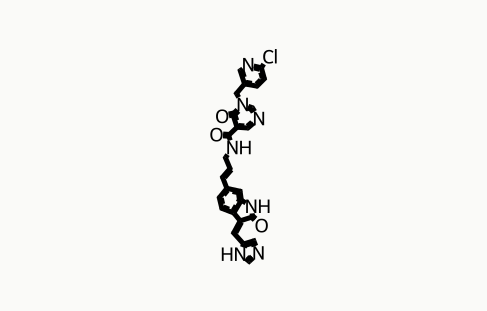 O=C1Nc2cc(C=CCNC(=O)c3cncn(Cc4ccc(Cl)nc4)c3=O)ccc2C1=Cc1cnc[nH]1